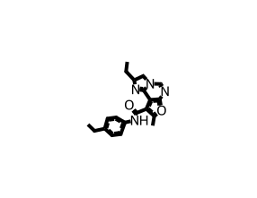 CCc1ccc(NC(=O)c2c(C)oc3c2C2=NC(CC)CN2C=N3)cc1